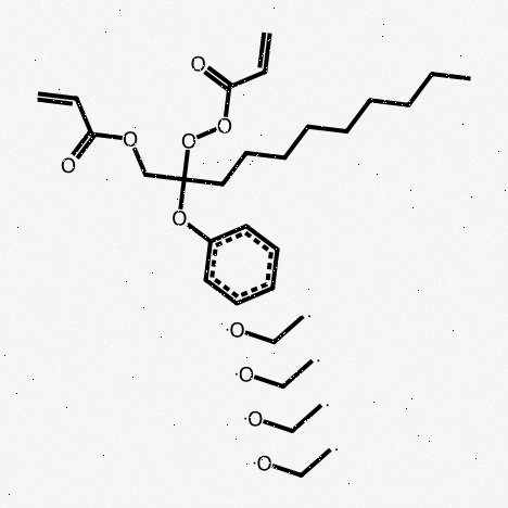 C=CC(=O)OCC(CCCCCCCCC)(OOC(=O)C=C)Oc1ccccc1.[CH2]C[O].[CH2]C[O].[CH2]C[O].[CH2]C[O]